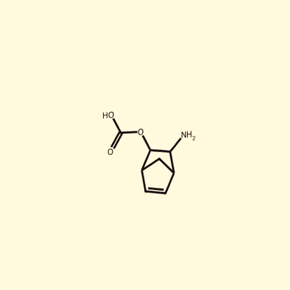 NC1C2C=CC(C2)C1OC(=O)O